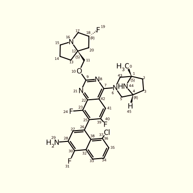 C[C@]12CC[C@H](CN(c3nc(OC[C@@]45CCCN4C[C@H](F)C5)nc4c(F)c(-c5cc(N)c(F)c6cccc(Cl)c56)c(F)cc34)C1)N2